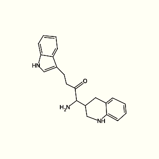 NC(C(=O)CCc1c[nH]c2ccccc12)C1CNc2ccccc2C1